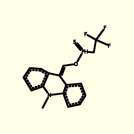 CN1c2ccccc2C(=CO[PH](=S)CC(F)(F)F)c2ccccc21